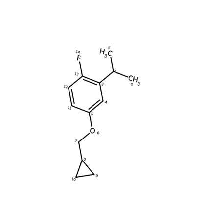 CC(C)c1cc(OCC2CC2)ccc1F